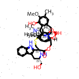 COc1c(C)cc2c(c1O)[C@@H](N(C)C)[C@@H]1[C@@H]3SC[C@@]4(N[C@H](CO)Cc5c4[nH]c4ccccc54)C(=O)OC[C@@H](c4c5c(c(C)c(OC(C)=O)c43)OCO5)N1[C@@H](O)C2